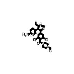 CCc1ncnc(-c2cc(Cl)c(C(=O)N3CCN(C=O)CC3)c(Cl)c2)c1-c1ccc(N)nc1